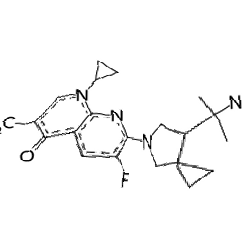 CC(C)(N)C1CN(c2nc3c(cc2F)c(=O)c(C(=O)O)cn3C2CC2)CC12CC2